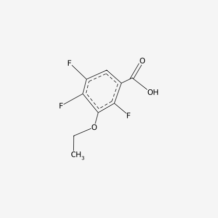 CCOc1c(F)c(F)cc(C(=O)O)c1F